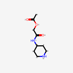 CC(=O)OCC(=O)NC1CCNCC1